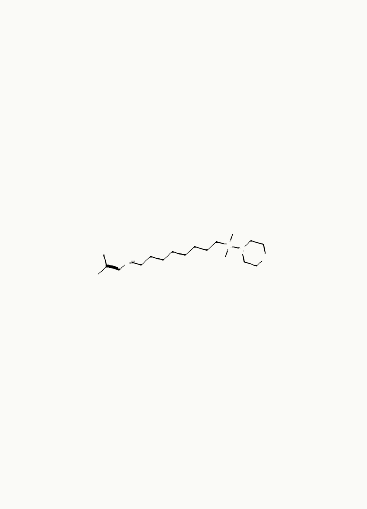 CC(C)=C[SiH2]CCCCCCCC[Si](C)(C)N1CCOCC1